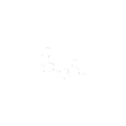 NC(=O)N1CCCC1c1cc(-c2cc(-c3ccccc3Cl)[nH]c(=O)c2)ccn1